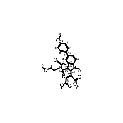 COCCN1C(=O)CC[C@@]23C1=NC(C(=O)OC)=C(C(=O)OC)C2N(C)c1ccc(-c2ccc(OC)cc2)cc13